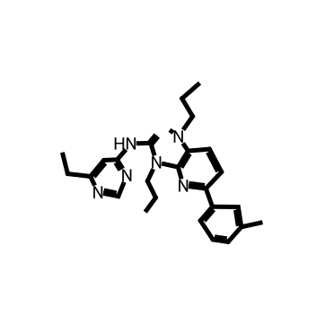 C=C(Nc1cc(CC)ncn1)N(CCC)c1nc(-c2cccc(C)c2)ccc1N(C)CCC